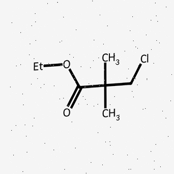 CCOC(=O)C(C)(C)CCl